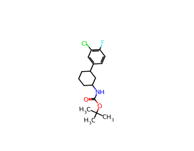 CC(C)(C)OC(=O)NC1CCCC(c2ccc(F)c(Cl)c2)C1